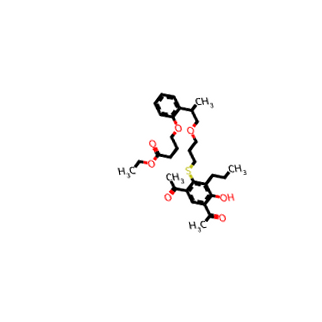 CCCc1c(O)c(C(C)=O)cc(C(C)=O)c1SCCCOCC(C)c1ccccc1OCCCC(=O)OCC